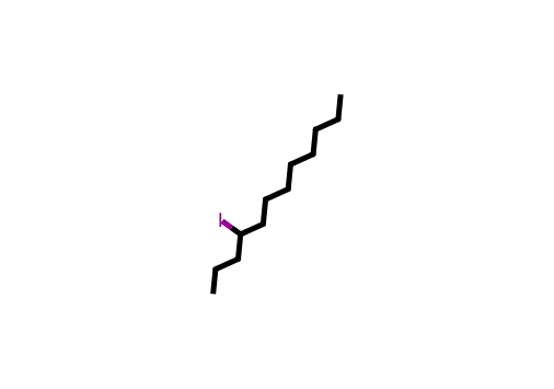 CCCCCCCCC(I)CCC